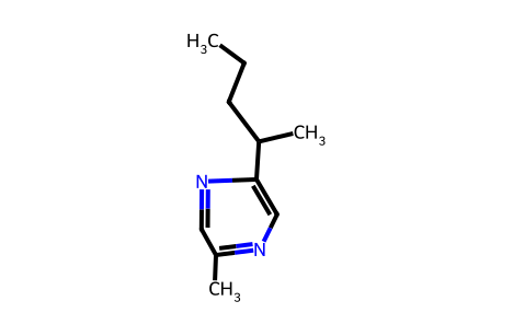 CCCC(C)c1cnc(C)cn1